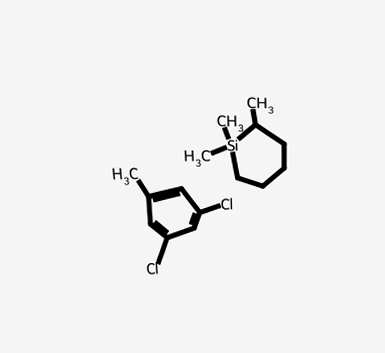 CC1CCCC[Si]1(C)C.Cc1cc(Cl)cc(Cl)c1